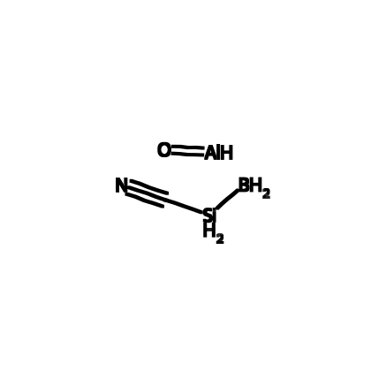 B[SiH2]C#N.[O]=[AlH]